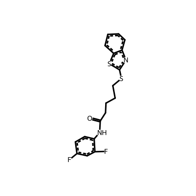 O=C(CCCCSc1nc2ccccc2s1)Nc1ccc(F)cc1F